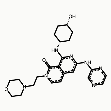 O=c1c2c(N[C@H]3CC[C@@H](O)CC3)nc(Nc3cnccn3)cc2ccn1CCN1CCOCC1